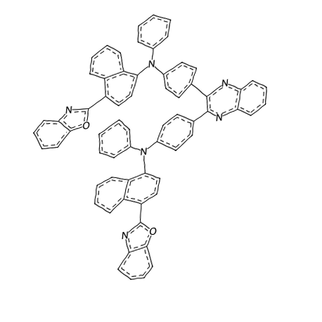 c1ccc(N(c2ccc(-c3nc4ccccc4nc3-c3ccc(N(c4ccccc4)c4ccc(-c5nc6ccccc6o5)c5ccccc45)cc3)cc2)c2ccc(-c3nc4ccccc4o3)c3ccccc23)cc1